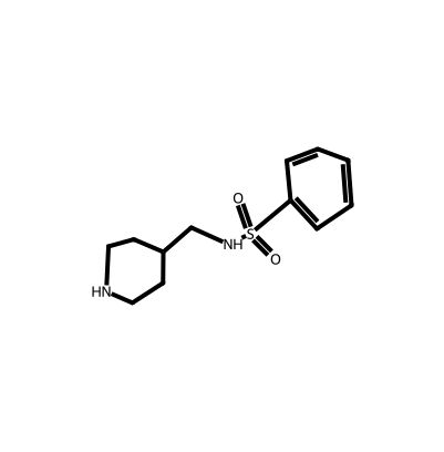 O=S(=O)(NCC1CCNCC1)c1ccccc1